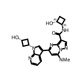 CNc1cc(-c2cn([C@H]3C[C@@H](O)C3)c3ncccc23)nc2c(C(=O)N[C@@H]3CC[C@H]3O)cnn12